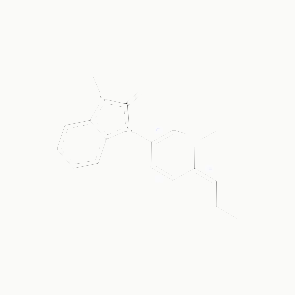 C\C=C(/C=C\C(=C/CC)OC)n1c(=O)n(C)c2ccccc21